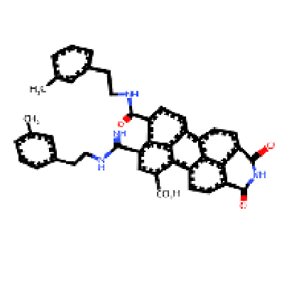 Cc1cccc(CCNC(=N)c2cc(C(=O)O)c3c4ccc5c6c(ccc(c7ccc(C(=O)NCCc8cccc(C)c8)c2c73)c64)C(=O)NC5=O)c1